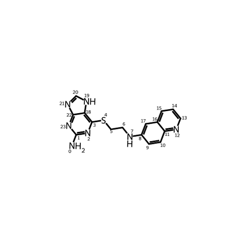 Nc1nc(SCCNc2ccc3ncccc3c2)c2[nH]cnc2n1